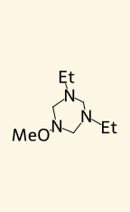 CCN1CN(CC)CN(OC)C1